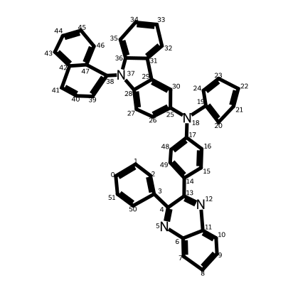 c1ccc(-c2nc3ccccc3nc2-c2ccc(N(c3ccccc3)c3ccc4c(c3)c3ccccc3n4-c3cccc4ccccc34)cc2)cc1